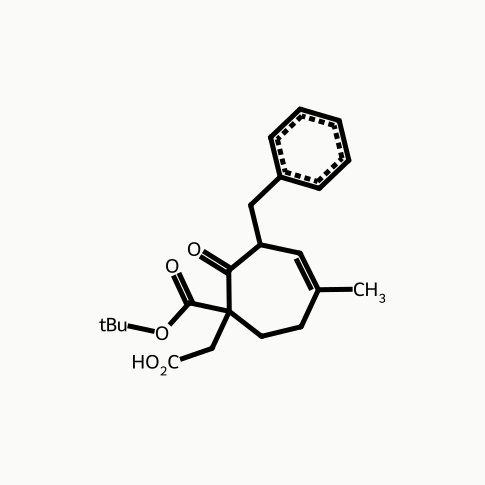 CC1=CC(Cc2ccccc2)C(=O)C(CC(=O)O)(C(=O)OC(C)(C)C)CC1